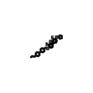 CCCC1CCC(C2CCC(COc3ccc4c(oc5c(F)c(OC6CCCC6)ccc54)c3F)CC2)CC1